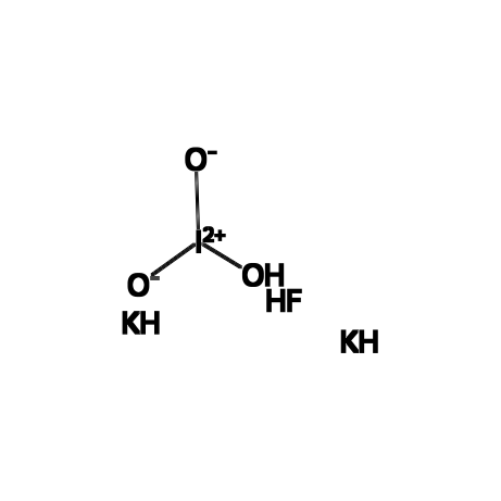 F.[KH].[KH].[O-][I+2]([O-])O